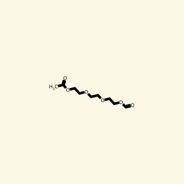 CC(=O)OCCOCCOCCOC=O